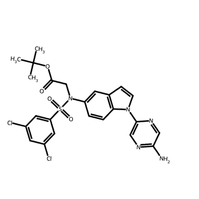 CC(C)(C)OC(=O)CN(c1ccc2c(ccn2-c2cnc(N)cn2)c1)S(=O)(=O)c1cc(Cl)cc(Cl)c1